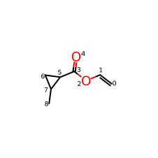 C=COC(=O)C1CC1C